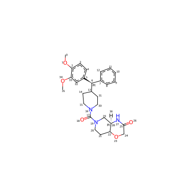 COc1ccc([C@@H](c2ccccc2)C2CCN(C(=O)N3CCC4OCC(=O)N[C@@H]4C3)CC2)cc1OC